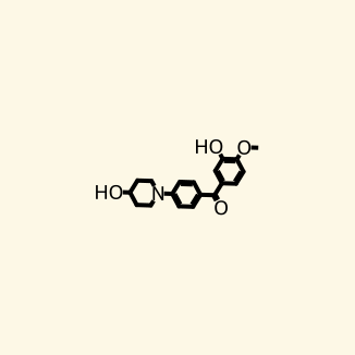 COc1ccc(C(=O)c2ccc(N3CCC(O)CC3)cc2)cc1O